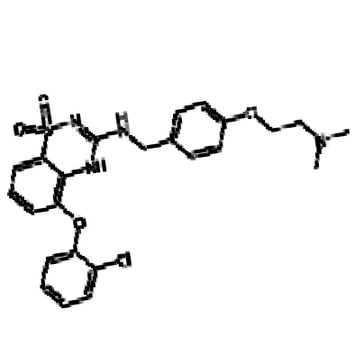 CN(C)CCOc1ccc(CNC2=NS(=O)(=O)c3cccc(Oc4ccccc4Cl)c3N2)cc1